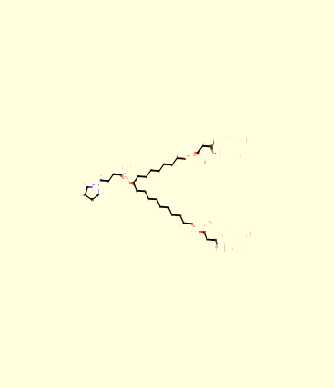 CCCCCC(CCCCC)CC(=O)OCCCCCCCCCCC(CCCCCCCCOC(=O)CC(CCCCC)CCCCC)OC(=O)CCCN1CCCC1